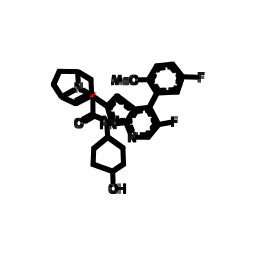 COc1ccc(F)cc1-c1c(F)cnc2[nH]c(C3=CC4CCC(C3)N4CC(=O)NC3CCC(O)CC3)cc12